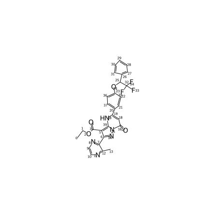 CCOC(=O)c1c(-c2nccnc2C)nn2c(=O)cc(-c3ccc(OC(c4ccccc4)C(F)(F)F)cc3)[nH]c12